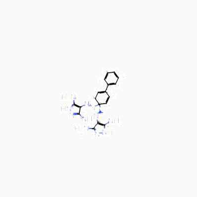 Nc1n[nH]c(N)c1N=NC1(N=Nc2c(N)n[nH]c2N)C=CC(c2ccccc2)=CC1